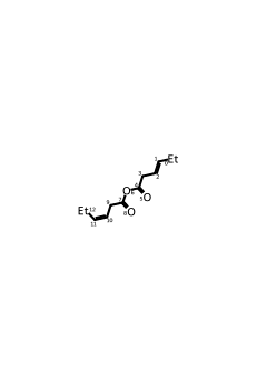 CCC=CCC(=O)OC(=O)C/C=C\CC